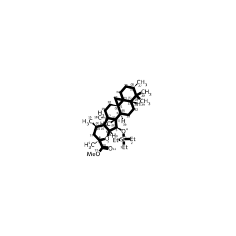 CC[Si](CC)(CC)O[C@H]1[C@H]2O[C@@](C)(C(=O)OC)C[C@@H](C)C2[C@@]2(C)CC[C@@]34CC35CC[C@H](C)C(C)(C)[C@@H]5CC[C@H]4[C@]12C